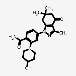 Cc1nn(-c2ccc(C(N)=O)c(N3CCC(O)CC3)c2)c2c1C(=O)CC(C)(C)C2